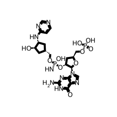 N=P(O)(OC[C@@H]1C[C@@H](O)[C@H](Nc2ccncn2)C1)O[C@@H]1C[C@@H](COP(=O)(O)O)O[C@H]1n1cnc2c(=O)[nH]c(N)nc21